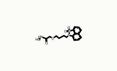 O=C(COCCCCN1c2cccc3cccc(c23)S1(=O)=O)NO